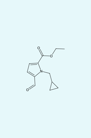 CCOC(=O)c1ccc(C=O)n1CC1CC1